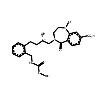 CCN1CCN(C[C@@H](O)CCc2ccccc2CNC(=O)OC(C)(C)C)C(=O)c2ccc(C(=O)O)cc21